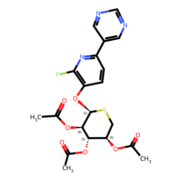 CC(=O)O[C@@H]1[C@@H](OC(C)=O)[C@@H](Oc2ccc(-c3cncnc3)nc2F)SC[C@H]1OC(C)=O